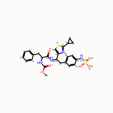 COC(=O)NC(Cc1ccccc1)C(=O)NC(Cc1ccc(NS(=O)(=O)O)cc1)c1csc(C2CC2)n1